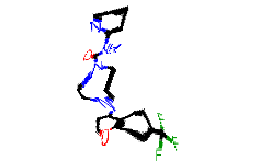 O=C(Nc1ccccn1)N1CCN(C2CCOc3cc(C(F)(F)F)ccc32)CC1